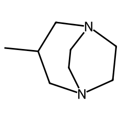 CC1CN2CCN(CC2)C1